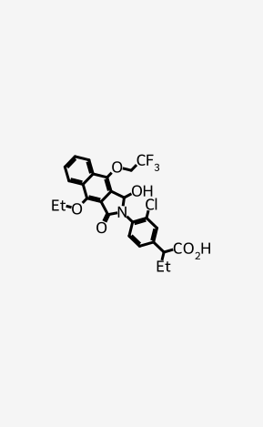 [CH2]CC(C(=O)O)c1ccc(N2C(=O)c3c(c(OCC(F)(F)F)c4ccccc4c3OCC)C2O)c(Cl)c1